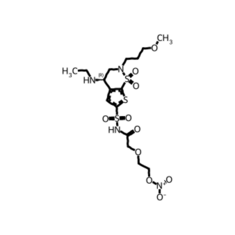 CCN[C@H]1CN(CCCOC)S(=O)(=O)c2sc(S(=O)(=O)NC(=O)COCCO[N+](=O)[O-])cc21